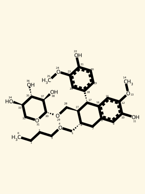 CCCCOC[C@H]1Cc2cc(O)c(OC)cc2[C@@H](c2ccc(O)c(OC)c2)[C@@H]1CO[C@@H]1OC[C@@H](O)[C@H](O)[C@H]1O